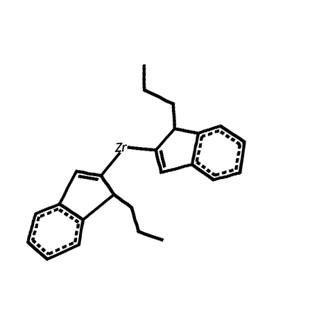 CCCC1[C]([Zr][C]2=Cc3ccccc3C2CCC)=Cc2ccccc21